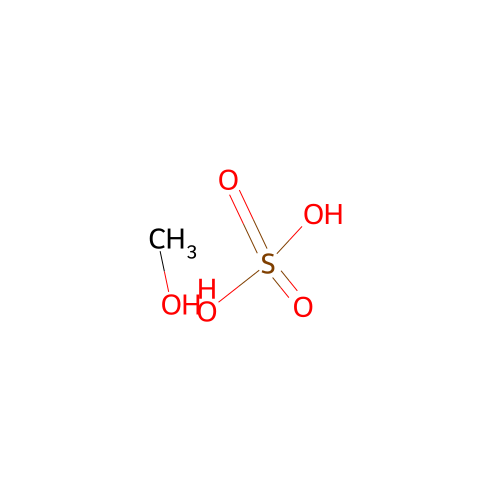 CO.O=S(=O)(O)O